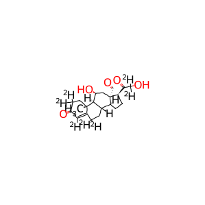 [2H]C1=C2C([2H])([2H])C[C@@H]3[C@H]([C@@H](O)C[C@@]4(C=O)[C@@H](C(=O)C([2H])([2H])O)CC[C@@H]34)[C@@]2(C)CC([2H])([2H])C1=O